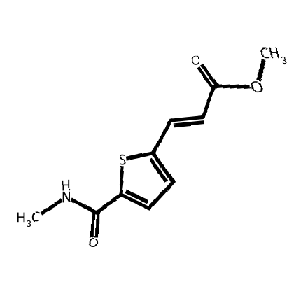 CNC(=O)c1ccc(/C=C/C(=O)OC)s1